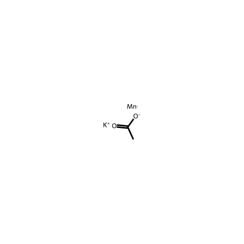 CC(=O)[O-].[K+].[Mn]